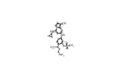 CC(CCN)c1ccc(Nc2cc(NC3CC3)n3ncc(C#N)c3n2)cc1CS(C)(=O)=O